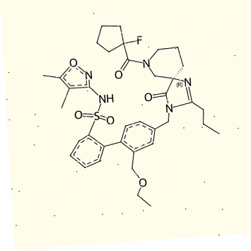 CCCC1=N[C@@]2(CCCN(C(=O)C3(F)CCCC3)C2)C(=O)N1Cc1ccc(-c2ccccc2S(=O)(=O)Nc2noc(C)c2C)c(COCC)c1